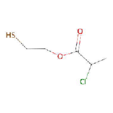 CC(Cl)C(=O)OCCS